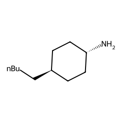 CCCCC[C@H]1CC[C@H](N)CC1